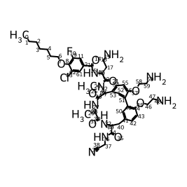 CCCCCCCOc1c(F)cc(C(=O)N[C@@H](CCN)C(=O)N(C)[C@@H]2C(=O)N[C@@H](C)C(=O)N[C@H](C(=O)NCC#N)Cc3ccc(OCCN)c(c3)-c3cc2ccc3OCCN)cc1Cl